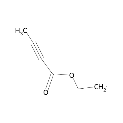 [CH2]COC(=O)C#CC